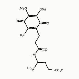 COC1=C(OC)C(=O)C(CCC(=O)NC(CCC(=O)O)C(=O)O)=C(C)C1=O